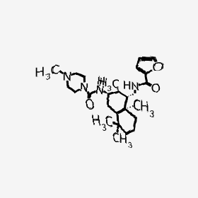 C[C@H]1[C@H](NC(=O)N2CCN(C)CC2)CC2C(C)(C)CCC[C@]2(C)[C@H]1CNC(=O)c1ccco1